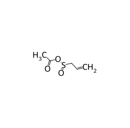 C=CCS(=O)OC(C)=O